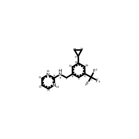 FC(F)(F)c1cc(CNc2nc[c]cn2)cc(C2CC2)c1